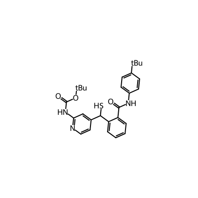 CC(C)(C)OC(=O)Nc1cc(C(S)c2ccccc2C(=O)Nc2ccc(C(C)(C)C)cc2)ccn1